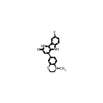 CN1CCSc2cc(-c3cc(=O)[nH]c4c3[nH]c3ccc(F)cc34)ccc21